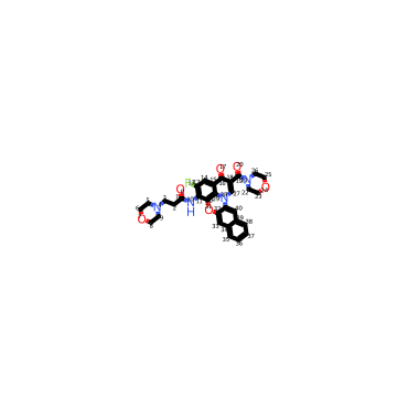 O=C(CCN1CCOCC1)Nc1c(F)cc2c(=O)c(C(=O)N3CCOCC3)cn3c2c1Oc1cc2ccccc2cc1-3